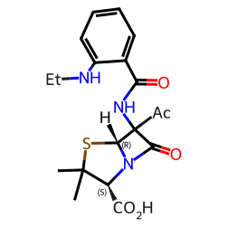 CCNc1ccccc1C(=O)NC1(C(C)=O)C(=O)N2[C@@H](C(=O)O)C(C)(C)S[C@@H]21